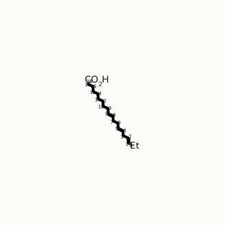 CCC=CCC=CCCC=CCCCCCCCCC(=O)O